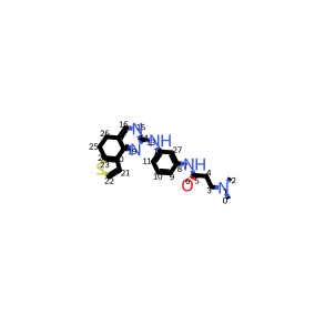 CN(C)CCC(=O)Nc1cccc(Nc2ncc3c(n2)-c2ccsc2CC3)c1